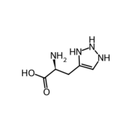 N[C@@H](CC1=CNNN1)C(=O)O